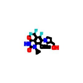 COc1c(N2CCC(CO)C2)c(F)c(C(F)F)c2c(=O)[nH]c(=O)n(C3CC3)c12